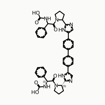 O=C(O)NC(C(=O)N1CCCC1c1ncc(-c2ccc(-c3ccc(-c4cnc([C@@H]5CCCN5C(=O)[C@@H](NC(=O)O)c5ccccc5)[nH]4)cc3)cc2)[nH]1)c1ccccc1